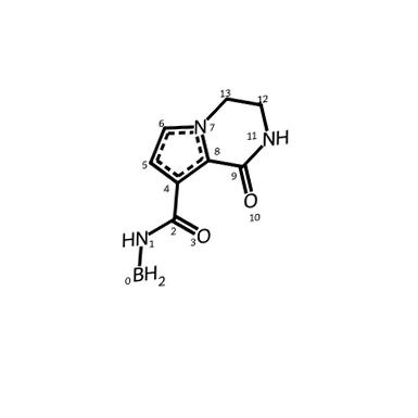 BNC(=O)c1ccn2c1C(=O)NCC2